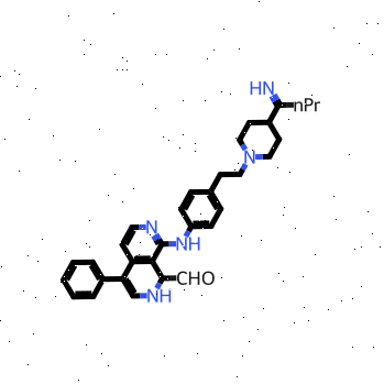 CCCC(=N)C1CCN(CCc2ccc(Nc3nccc4c3C(C=O)NC=C4c3ccccc3)cc2)CC1